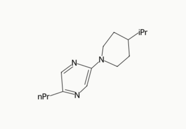 CCCc1cnc(N2CCC(C(C)C)CC2)cn1